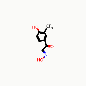 O=C(C=NO)c1ccc(O)c(C(F)(F)F)c1